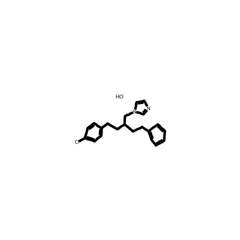 Cl.Clc1ccc(CCC(CCc2ccccc2)Cn2ccnc2)cc1